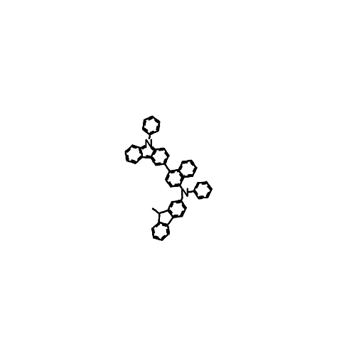 CC1c2ccccc2-c2ccc(N(c3ccccc3)c3ccc(-c4ccc5c(c4)c4ccccc4n5-c4ccccc4)c4ccccc34)cc21